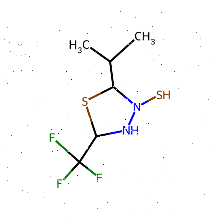 CC(C)C1SC(C(F)(F)F)NN1S